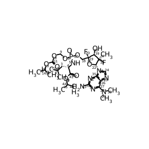 CC(C)C[C@H](NP(=O)(OCOC(=O)OC(C)C)OC[C@@]1(F)O[C@@H](n2cnc3c(N(C)C)nc(N)nc32)[C@](C)(F)[C@@H]1O)C(=O)OC(C)C